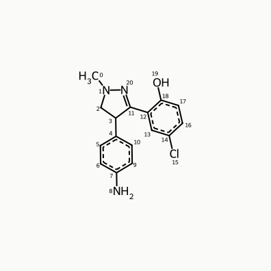 CN1CC(c2ccc(N)cc2)C(c2cc(Cl)ccc2O)=N1